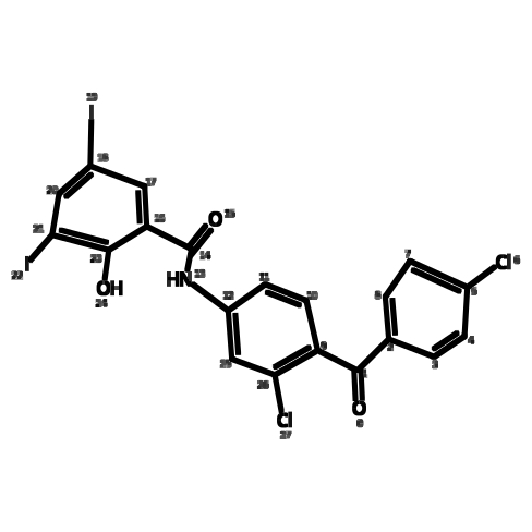 O=C(c1ccc(Cl)cc1)c1ccc(NC(=O)c2cc(I)cc(I)c2O)cc1Cl